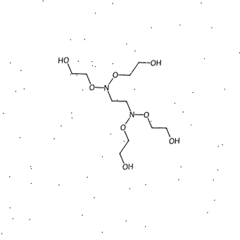 OCCON(CCN(OCCO)OCCO)OCCO